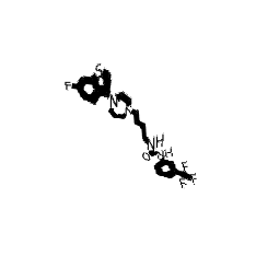 O=C(NCCCCN1CCCN(c2csc3cc(F)ccc23)CC1)Nc1cccc(C(F)(F)F)c1